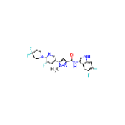 Cn1nc(C(=O)Nc2c[nH]c3cc(F)c(F)cc23)cc1-c1cnc(N2CCC(F)(F)CC2)c(F)c1